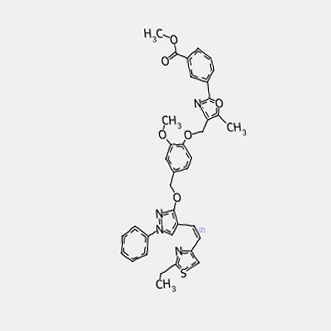 CCc1nc(/C=C\c2cn(-c3ccccc3)nc2OCc2ccc(OCc3nc(-c4cccc(C(=O)OC)c4)oc3C)c(OC)c2)cs1